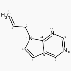 C=CCn1ccc2cncnc21